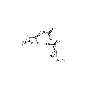 [BaH2].[BaH2].[Nd+3].[Nd+3].[O]=[Ti]([O-])[O-].[O]=[Ti]([O-])[O-].[O]=[Ti]([O-])[O-]